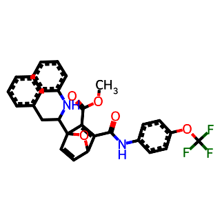 COC(=O)C1=C(C(=O)Nc2ccc(OC(F)(F)F)cc2)C2C=CC1(C(Cc1ccccc1)Nc1ccccc1)O2